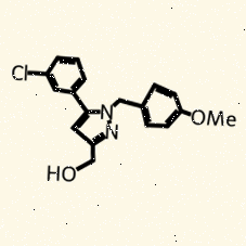 COc1ccc(Cn2nc(CO)cc2-c2cccc(Cl)c2)cc1